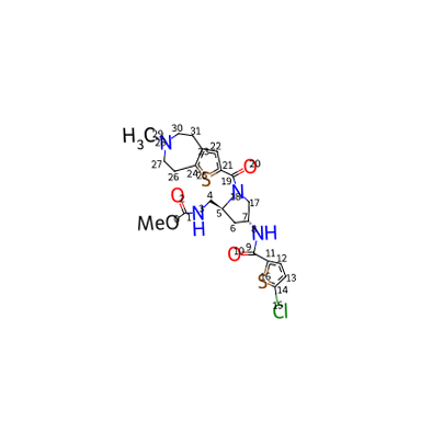 COC(=O)NC[C@@H]1C[C@@H](NC(=O)c2ccc(Cl)s2)CN1C(=O)c1cc2c(s1)CCN(C)CC2